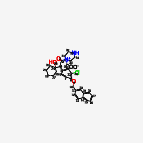 O=C([O-])[N+]1(C(=O)C(c2ccc(OCc3ccc4ccccc4c3)c(Cl)c2)C2(O)CCCCC2)CCNCC1